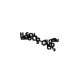 CN(C(=O)OC(C)(C)C)c1ccc(-c2cc3ccc(O[Si](C)(C)C(C)(C)C)cc3s2)cn1